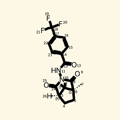 CC1(C)[C@H]2CC[C@]1(C)C(=O)N(NC(=O)c1ccc(C(F)(F)F)cc1)C2=O